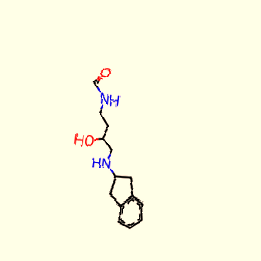 O=CNCCC(O)CNC1Cc2ccccc2C1